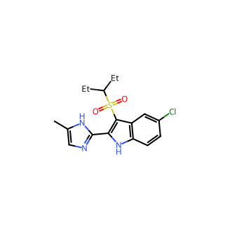 CCC(CC)S(=O)(=O)c1c(-c2ncc(C)[nH]2)[nH]c2ccc(Cl)cc12